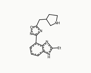 CCc1nc2c(-c3noc(CC4CCNC4)n3)cccc2[nH]1